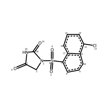 O=C1CN(S(=O)(=O)c2cccc3c(Cl)cccc23)C(=O)N1